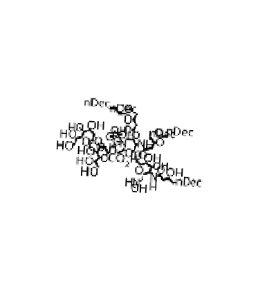 CCCCCCCCCCCCCC(=O)OC(CCCCCCCCCCC)CC(=O)OC1CN(OP(=O)(O)O)C(CO[C@@]2(C(=O)O)CC(O[C@]3(C(=O)O)CC(O)[C@H](O)C(C(O)CO)O3)[C@H](O)C(C(O)CO)O2)O[C@@H](OCC2O[C@@H](CNO)C(NC(=O)CC(O)CCCCCCCCCCC)C(O)[C@@H]2O)C1NC(=O)CC(CCCCCCCCCCC)OC(=O)CCCCCCCCCCC